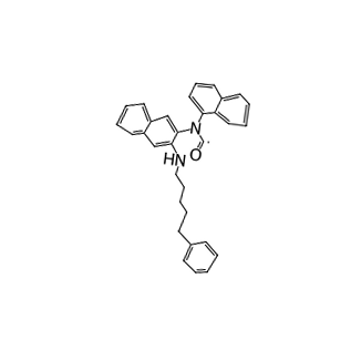 O=[C]N(c1cc2ccccc2cc1NCCCCCc1ccccc1)c1cccc2ccccc12